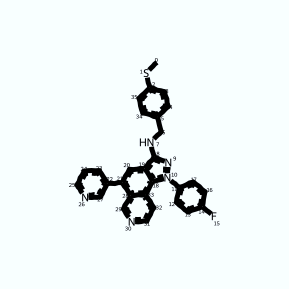 CSc1ccc(CNc2nn(-c3ccc(F)cc3)c3c2cc(-c2cccnc2)c2cnccc23)cc1